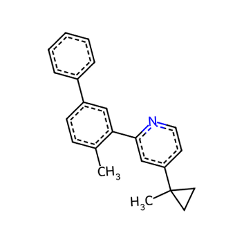 Cc1ccc(-c2ccccc2)cc1-c1cc(C2(C)CC2)ccn1